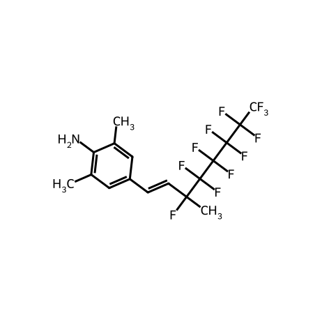 Cc1cc(/C=C/C(C)(F)C(F)(F)C(F)(F)C(F)(F)C(F)(F)C(F)(F)F)cc(C)c1N